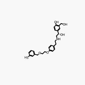 OCc1cc([C@H](O)CNCCc2ccc(OCCOCc3cccc(S)c3)cc2)ccc1O